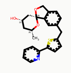 C[C@@H]1C[C@H](O)C[C@@]2(OCc3ccc(Cc4ccc(-c5ccccn5)s4)cc32)O1